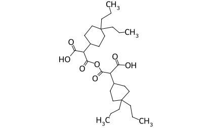 CCCC1(CCC)CCC(C(C(=O)O)C(=O)OC(=O)C(C(=O)O)C2CCC(CCC)(CCC)CC2)CC1